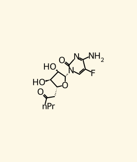 CCCC(=O)C[C@H]1O[C@@H](n2cc(F)c(N)nc2=O)[C@H](O)[C@@H]1O